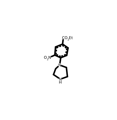 CCOC(=O)c1ccc(N2CCNCC2)c([N+](=O)[O-])c1